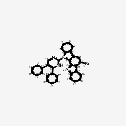 Brc1cc2c3ccccc3n(C3N=CC(c4ccccc4)=C(c4ccccc4)N3)c2c2sc3ccccc3c12